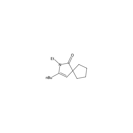 CCCCC1=CC2(CCCC2)C(=O)N1CC